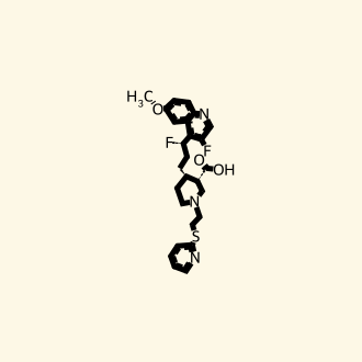 COc1ccc2ncc(F)c([C@@H](F)CC[C@H]3CCN(CCSc4ccccn4)C[C@H]3C(=O)O)c2c1